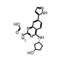 Nc1nc(N[C@@H]2CC[C@@H](O)C2)c2ccc(-c3ccn[nH]3)cc2n1.O=CO